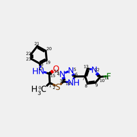 CC(Sc1nnc(-c2ccc(F)nc2)[nH]1)C(=O)Nc1ccccc1